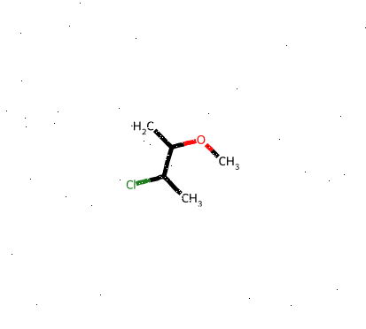 [CH2]C(OC)C(C)Cl